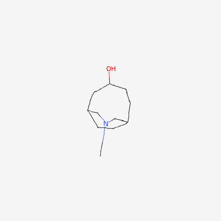 CN1CC2CCC(O)CC(CC2)C1